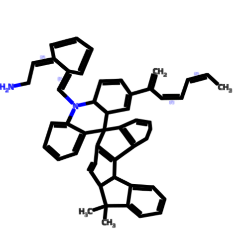 C=C(/C=C\C=C/C)C1=CC2C(C=C1)N(/C=c1\cccc\c1=C\CN)c1ccccc1C21C2=C(CCC=C2)C2=C1C=CC1C2c2ccccc2C1(C)C